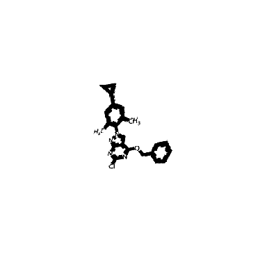 Cc1cc(C2CC2)cc(C)c1-n1cc2c(OCc3ccccc3)nc(Cl)nc2n1